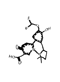 CC1(C)CCC2c3cc(O)c(OC(F)F)cc3-c3cc(=O)c(C(=O)O)cn3N21